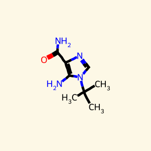 CC(C)(C)n1cnc(C(N)=O)c1N